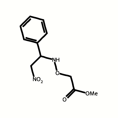 COC(=O)CONC(C[N+](=O)[O-])c1ccccc1